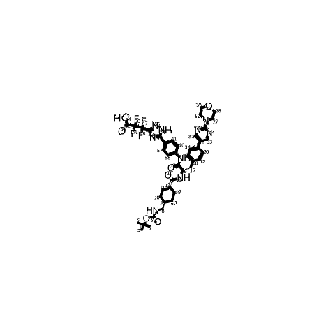 CC(C)(C)OC(=O)NC[C@H]1CC[C@H](C(=O)N[C@@H](Cc2ccc(-c3cnc(N4CCOCC4)nc3)cc2)C(=O)Nc2ccc(-c3nc(C(F)(F)C(F)(F)C(=O)O)n[nH]3)cc2)CC1